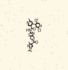 COc1cnc(Cl)cc1-c1cc(C)ncc1C(=O)Nc1nc2c(s1)CN(C(=O)c1cn(C(C)C)nc1C)C2